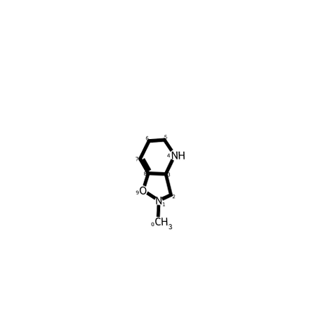 CN1CC2NCCC=C2O1